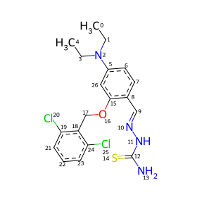 CCN(CC)c1ccc(/C=N/NC(N)=S)c(OCc2c(Cl)cccc2Cl)c1